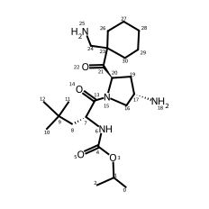 CC(C)OC(=O)N[C@H](CC(C)(C)C)C(=O)N1C[C@@H](N)C[C@@H]1C(=O)C1(CN)CCCCC1